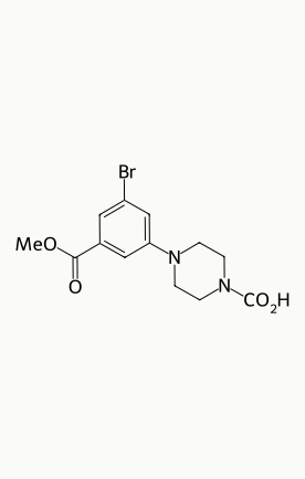 COC(=O)c1cc(Br)cc(N2CCN(C(=O)O)CC2)c1